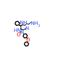 N#Cc1c(-c2c(CCCCN)[nH]c3ccccc23)[nH]c(=O)n1-c1ccc(Oc2ccccc2)cc1